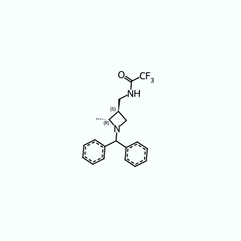 C[C@@H]1[C@@H](CNC(=O)C(F)(F)F)CN1C(c1ccccc1)c1ccccc1